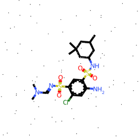 CC1CC(NS(=O)(=O)c2cc(S(=O)(=O)/N=C/N(C)C)c(Cl)cc2N)CC(C)(C)C1